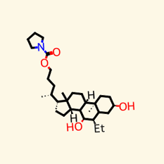 CC[C@@H]1C2C[C@H](O)CC[C@]2(C)[C@H]2CCC3(C)[C@@H]([C@H](C)CCCOC(=O)N4CCCC4)CC[C@H]3C2[C@@H]1O